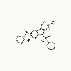 C=C(c1ccc2c(c1)c1ccc(Cl)nc1n2S(=O)(=O)c1ccccc1)c1ccccc1F